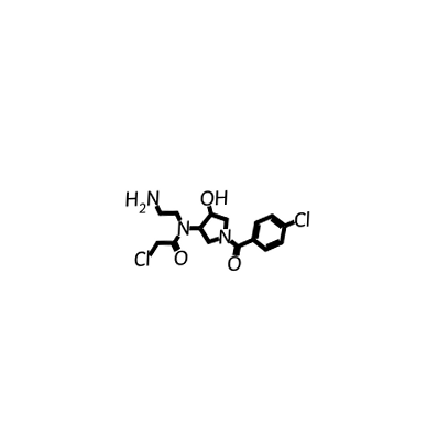 NCCN(C(=O)CCl)C1CN(C(=O)c2ccc(Cl)cc2)CC1O